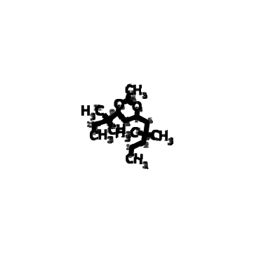 CCCC(C)(C)CC1CC(C(C)(C)CC)OC(C)O1